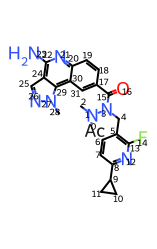 CC(=O)N(C)N(Cc1ccc(C2CC2)nc1F)C(=O)c1ccc2nc(N)c3cnn(C)c3c2c1